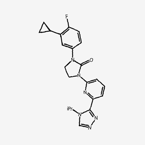 CC(C)n1cnnc1-c1cccc(N2CCN(c3ccc(F)c(C4CC4)c3)C2=O)n1